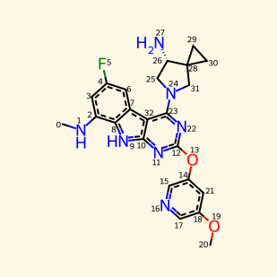 CNc1cc(F)cc2c1[nH]c1nc(Oc3cncc(OC)c3)nc(N3C[C@H](N)C4(CC4)C3)c12